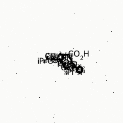 CC(CN[C@@H](Cc1ccc(OC(=O)OC(C)C(C)C)c(OC(=O)OC(C)C(C)C)c1)C(=O)O)OC(=O)c1ccccc1